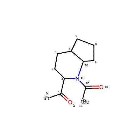 CC(C)C(=O)C1CCC2CCCC2N1C(=O)C(C)(C)C